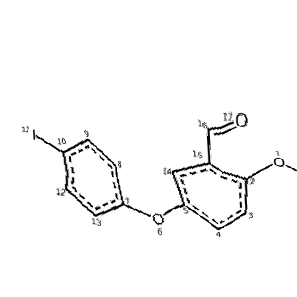 COc1ccc(Oc2ccc(I)cc2)cc1C=O